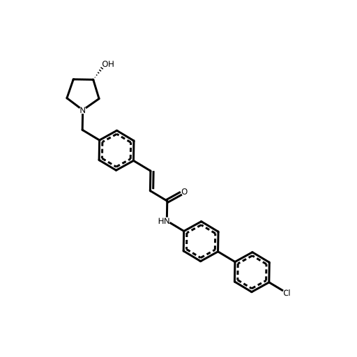 O=C(C=Cc1ccc(CN2CC[C@H](O)C2)cc1)Nc1ccc(-c2ccc(Cl)cc2)cc1